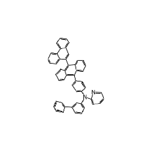 c1ccc(-c2cccc(N(c3ccc(-c4c5ccccc5c(-c5cc6ccccc6c6ccccc56)c5ccccc45)cc3)c3ccccn3)c2)cc1